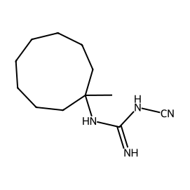 CC1(NC(=N)NC#N)CCCCCCCC1